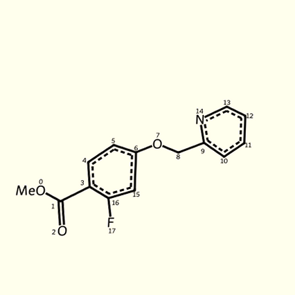 COC(=O)c1ccc(OCc2ccccn2)cc1F